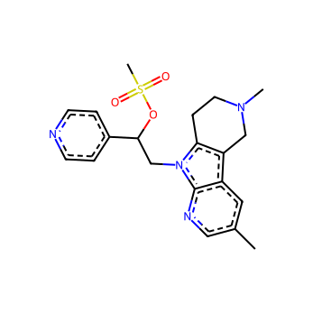 Cc1cnc2c(c1)c1c(n2CC(OS(C)(=O)=O)c2ccncc2)CCN(C)C1